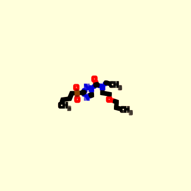 CCCCS(=O)(=O)c1ncn(C(=O)N(CC)CCOCCC)n1